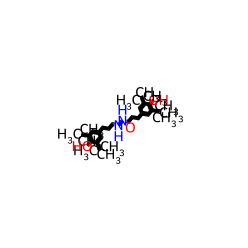 CC(C)(C)c1cc(CCCNNC(=O)CCc2cc(C(C)(C)C)c(O)c(C(C)(C)C)c2)cc(C(C)(C)C)c1O